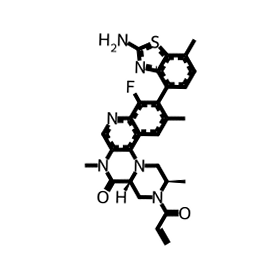 C=CC(=O)N1C[C@@H]2C(=O)N(C)c3cnc4c(F)c(-c5ccc(C)c6sc(N)nc56)c(C)cc4c3N2C[C@H]1C